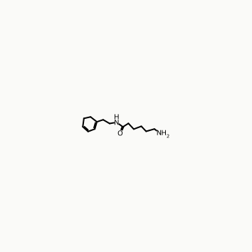 NCCCCCC(=O)NCCC1=CC=CCC1